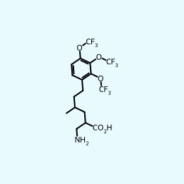 CC(CCc1ccc(OC(F)(F)F)c(OC(F)(F)F)c1OC(F)(F)F)CC(CN)C(=O)O